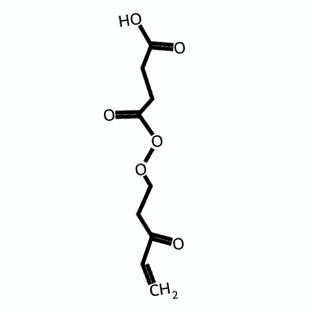 C=CC(=O)CCOOC(=O)CCC(=O)O